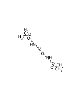 C=C(C)C(=O)OCCCNCCOCCOCCNCCCOC(=O)C(=C)C